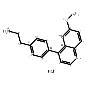 COc1ccc2nccc(-c3ccc(CCN)nc3)c2n1.Cl